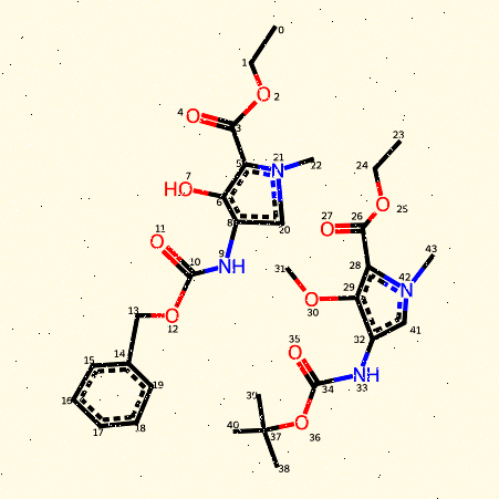 CCOC(=O)c1c(O)c(NC(=O)OCc2ccccc2)cn1C.CCOC(=O)c1c(OC)c(NC(=O)OC(C)(C)C)cn1C